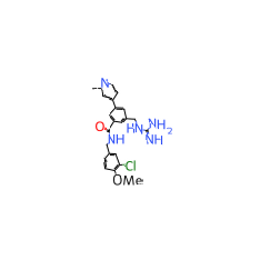 COc1ccc(CNC(=O)c2cc(CNC(=N)N)cc(-c3ccnc(C)c3)c2)cc1Cl